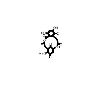 COC1=C2CC(C)OC(=O)c3c(O)cc(O)c(Cl)c3CCC(=O)NC(=CC1=O)C2=O